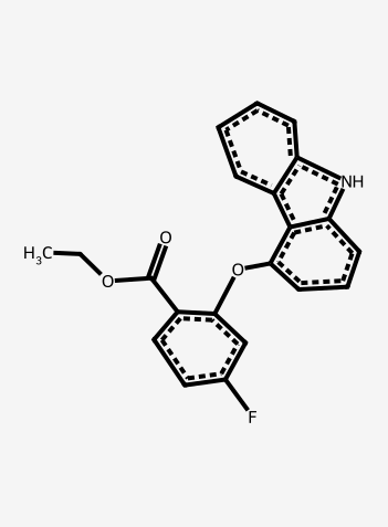 CCOC(=O)c1ccc(F)cc1Oc1cccc2[nH]c3ccccc3c12